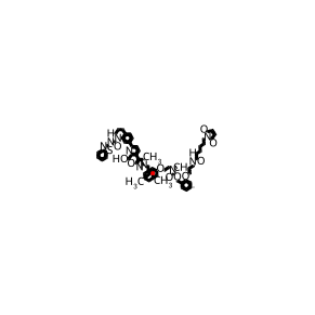 Cc1c(-c2ccc(-c3ccc4c(c3)N(C(=O)Nc3nc5ccccc5s3)CCC4)nc2C(=O)O)cnn1CC12CC3(C)CC(C)(C1)CC(OCCN(C)C(=O)OCc1cc[c]cc1OCCCNC(=O)CCCCCN1C(=O)C=CC1=O)(C3)C2